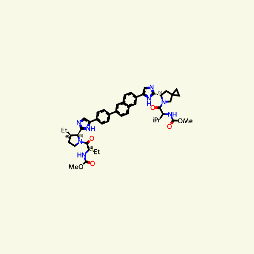 CC[C@@H]1CCN(C(=O)[C@H](CC)NC(=O)OC)[C@@H]1c1ncc(-c2ccc(-c3ccc4cc(-c5cnc([C@@H]6CC7(CC7)CN6C(=O)C(NC(=O)OC)C(C)C)[nH]5)ccc4c3)cc2)[nH]1